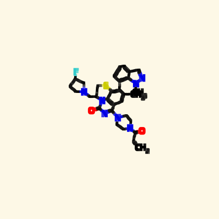 C=CC(=O)N1CCN(c2nc(=O)n3c4c(c(-c5cccc6cnn(C)c56)c(C)cc24)SCC3CN2CCC(F)C2)CC1